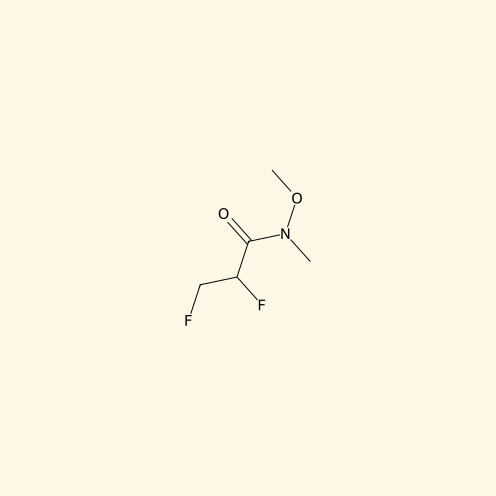 CON(C)C(=O)C(F)CF